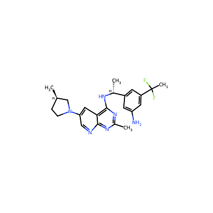 Cc1nc(N[C@H](C)c2cc(N)cc(C(C)(F)F)c2)c2cc(N3CC[C@@H](C)C3)cnc2n1